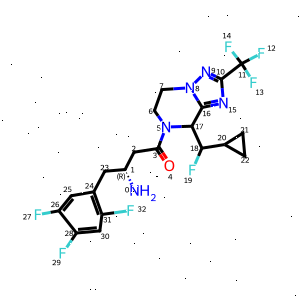 N[C@@H](CC(=O)N1CCn2nc(C(F)(F)F)nc2C1C(F)C1CC1)Cc1cc(F)c(F)cc1F